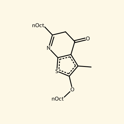 CCCCCCCCOc1sc2c(c1C)C(=O)CC(CCCCCCCC)=N2